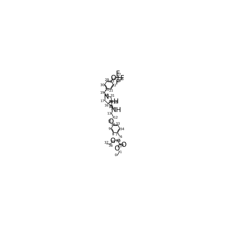 CCOC(=O)[C@@H](Cc1ccc(OCCN[C@H]2C3CN(Cc4ccc(OC(F)(F)F)cc4)C[C@@H]32)cc1)OCC